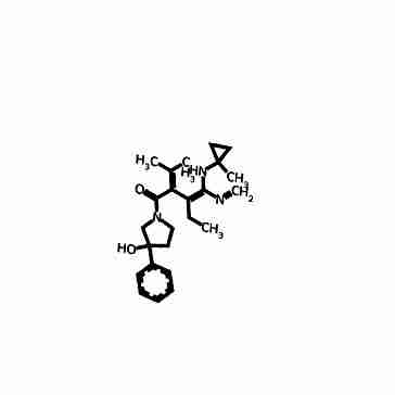 C=N/C(NC1(C)CC1)=C(\CC)C(C(=O)N1CCC(O)(c2ccccc2)C1)=C(C)C